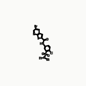 CCN(CC)S(=O)(=O)c1cc(NC(=O)c2cc3cc(Br)cnc3s2)ccc1Cl